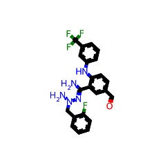 N/C(=N\N(N)Cc1ccccc1F)c1cc(C=O)ccc1Nc1cccc(C(F)(F)F)c1